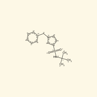 CC(C)(C)NS(=O)(=O)c1ccn(Cc2ccccc2)c1